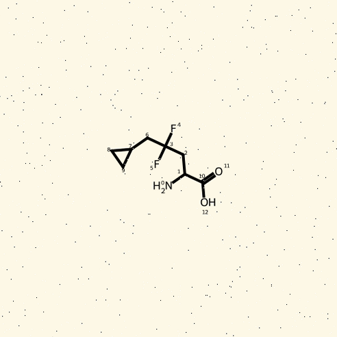 NC(CC(F)(F)CC1CC1)C(=O)O